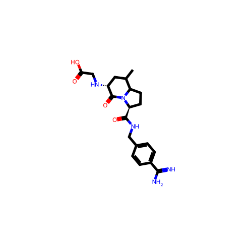 CC1C[C@@H](NCC(=O)O)C(=O)N2C1CC[C@H]2C(=O)NCc1ccc(C(=N)N)cc1